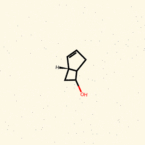 OC1C[C@@H]2C=CCC12